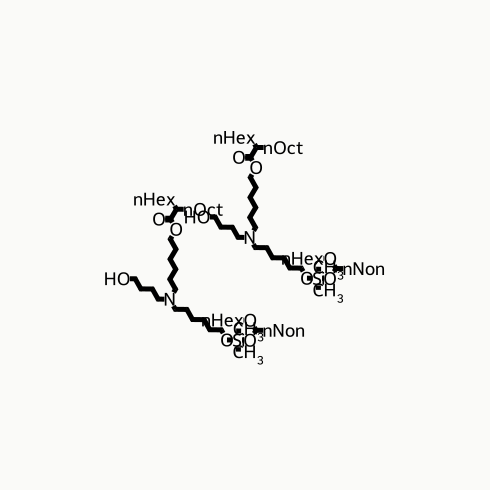 CCCCCCCCCC(OCCCCCC)O[Si](C)(C)OCCCCCCN(CCCCO)CCCCCCOC(=O)C(CCCCCC)CCCCCCCC.CCCCCCCCCC(OCCCCCC)O[Si](C)(C)OCCCCCCN(CCCCO)CCCCCCOC(=O)C(CCCCCC)CCCCCCCC